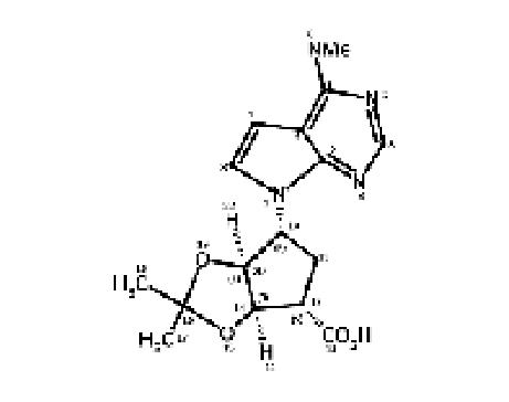 CNc1ncnc2c1ccn2[C@@H]1C[C@H](C(=O)O)[C@H]2OC(C)(C)O[C@H]21